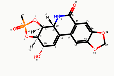 CP1(=O)O[C@@H]2[C@H](O1)[C@@H](O)C=C1c3cc4c(cc3C(=O)N[C@H]12)OCO4